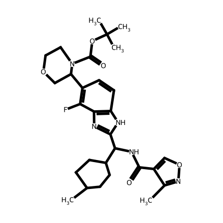 Cc1nocc1C(=O)NC(c1nc2c(F)c(C3COCCN3C(=O)OC(C)(C)C)ccc2[nH]1)C1CCC(C)CC1